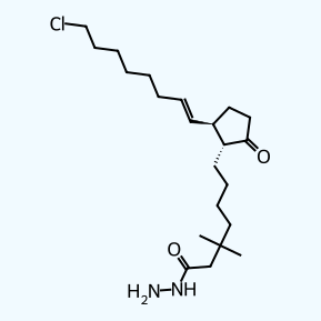 CC(C)(CCCC[C@H]1C(=O)CC[C@@H]1C=CCCCCCCCl)CC(=O)NN